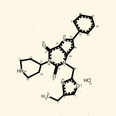 CCc1coc(Cn2c(=O)n(C3CCNCC3)c(=O)c3sc(-c4ccccc4)cc32)n1.Cl